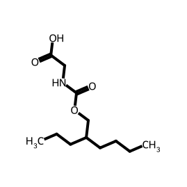 CCCCC(CCC)COC(=O)NCC(=O)O